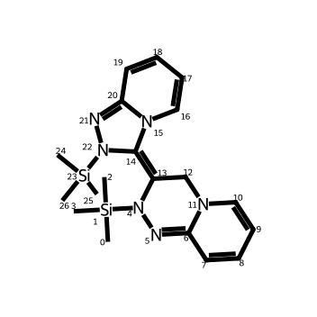 C[Si](C)(C)N1N=C2C=CC=CN2C/C1=C1\N2C=CC=CC2=NN1[Si](C)(C)C